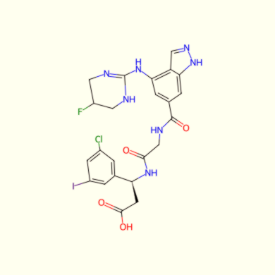 O=C(O)C[C@H](NC(=O)CNC(=O)c1cc(NC2=NCC(F)CN2)c2cn[nH]c2c1)c1cc(Cl)cc(I)c1